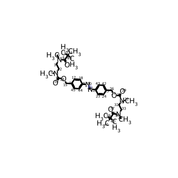 CN(CCN(C)C(=O)C(C)(C)C)C(=O)OCc1ccc(/N=N/c2ccc(COC(=O)N(C)CCN(C)C(=O)C(C)(C)C)cc2)cc1